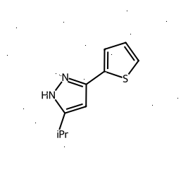 CC(C)c1cc(-c2cccs2)n[nH]1